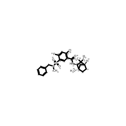 CN(Cc1ccccc1)S(=O)(=O)c1cc(C(=O)N[C@H]2C(C)(C)[C@@H]3CC[C@]2(C)C3)c(Cl)cc1F